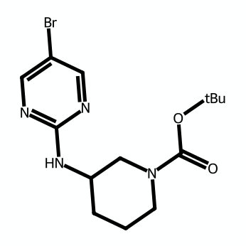 CC(C)(C)OC(=O)N1CCCC(Nc2ncc(Br)cn2)C1